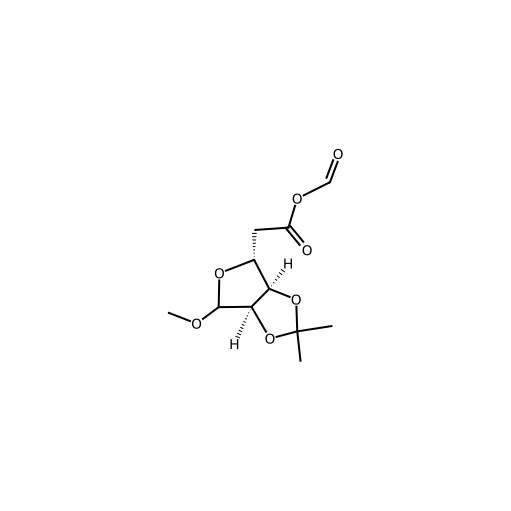 COC1O[C@H](CC(=O)OC=O)[C@H]2OC(C)(C)O[C@@H]12